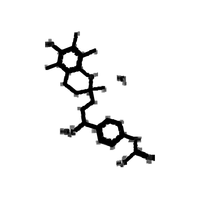 Cc1c(C)c2c(c(C)c1O)CCC(C)(CCC(C(=O)O)c1ccc(NC(=N)N)cc1)O2.Cl